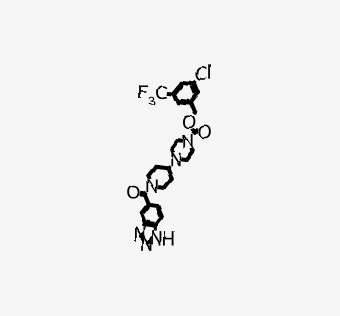 O=C(OCc1cc(Cl)cc(C(F)(F)F)c1)N1CCN(C2CCN(C(=O)c3ccc4[nH]nnc4c3)CC2)CC1